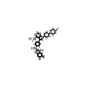 Cc1cc2nc(Nc3ccc(-c4cn(C5CCC(N6CCN(C)CC6)CC5)c5ncnc(N)c45)cc3)[nH]c2cc1F